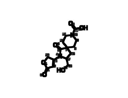 O=C1C=C(N2C(=O)C3(CCN(C(=O)O)CC3)CC2CO)CO1